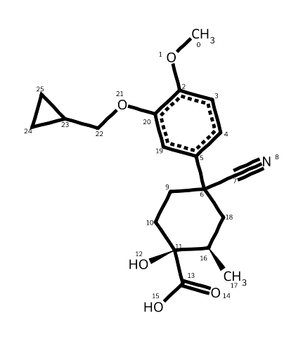 COc1ccc(C2(C#N)CC[C@@](O)(C(=O)O)[C@H](C)C2)cc1OCC1CC1